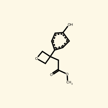 COC(=O)CC1(c2ccc(O)cc2)COC1